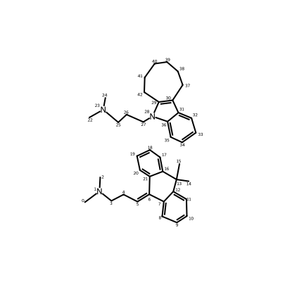 CN(C)CCC=C1c2ccccc2C(C)(C)c2ccccc21.CN(C)CCCn1c2c(c3ccccc31)CCCCCC2